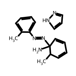 Cc1ccccc1N=NC1(N)C=CC=CC1C.c1cn[nH]c1